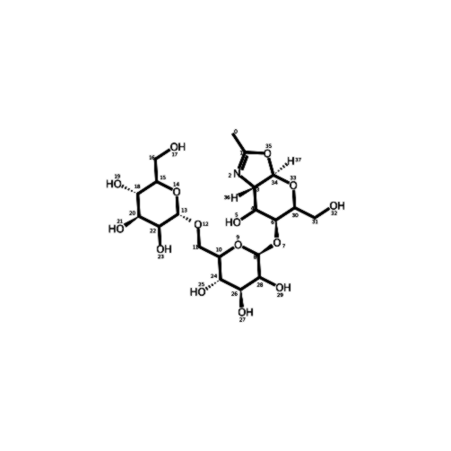 CC1=N[C@H]2C(O)[C@H](O[C@@H]3OC(CO[C@H]4OC(CO)[C@@H](O)[C@H](O)C4O)[C@@H](O)[C@H](O)C3O)C(CO)O[C@@H]2O1